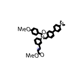 COC(=O)/C=C/c1cccc(N(Cc2ccc(-c3ccc(N(C)C)cc3)cc2)C(=O)c2ccc(OC)cc2)c1